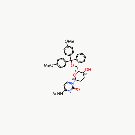 COc1ccc(C(OC[C@H]2O[C@@H](n3ccc(NC(C)=O)nc3=O)CC[C@@H]2O)(c2ccccc2)c2ccc(OC)cc2)cc1